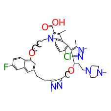 Cc1c(C(=O)O)n2c3ccc(Cl)c(c13)-c1c(nn(C)c1C)C(CCN1CCN(C)CC1)OCc1cc(n(C)n1)CCc1cc(c3ccc(F)cc3c1)OCCC2